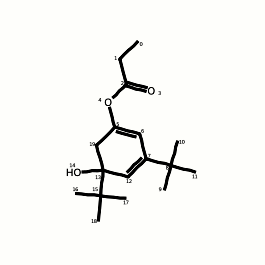 CCC(=O)OC1=CC(C(C)(C)C)=CC(O)(C(C)(C)C)C1